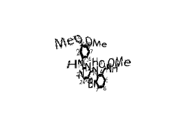 CONC(=O)c1ccccc1Nc1nc(Nc2ccc(OC)c(OC)c2)ncc1Br